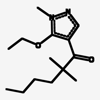 CCCCC(C)(C)C(=O)c1cnn(C)c1OCC